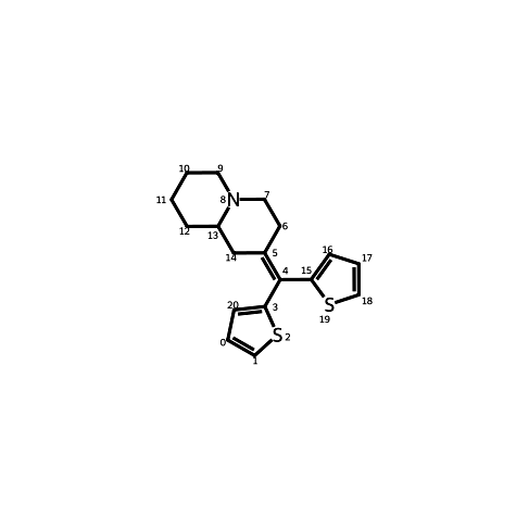 c1csc(C(=C2CCN3CCCCC3C2)c2cccs2)c1